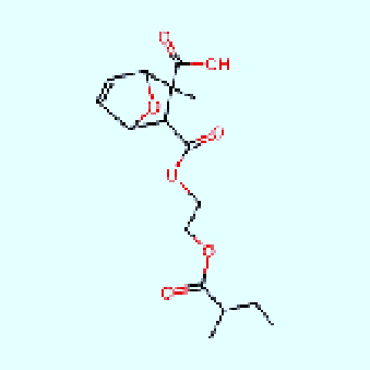 CCC(C)C(=O)OCCOC(=O)C1C2C=CC(O2)C1(C)C(=O)O